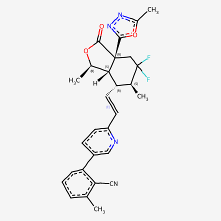 Cc1nnc([C@@]23CC(F)(F)[C@@H](C)[C@H](/C=C/c4ccc(-c5cccc(C)c5C#N)cn4)[C@@H]2[C@@H](C)OC3=O)o1